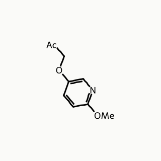 COc1ccc(OCC(C)=O)cn1